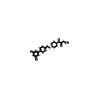 N#CCC(=O)N[C@H]1CC[C@H](CCN2CCN(c3cc(F)cc(Cl)c3)CC2)CC1